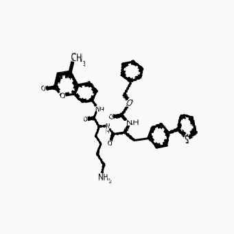 Cc1cc(=O)oc2cc(NC(=O)C(CCCCN)NC(=O)C(Cc3ccc(-c4cccs4)cc3)NC(=O)OCc3ccccc3)ccc12